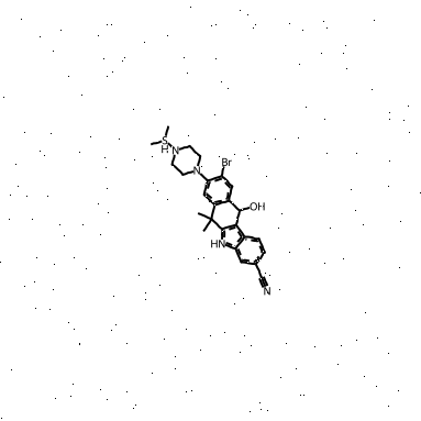 C[SH](C)N1CCN(c2cc3c(cc2Br)C(O)c2c([nH]c4cc(C#N)ccc24)C3(C)C)CC1